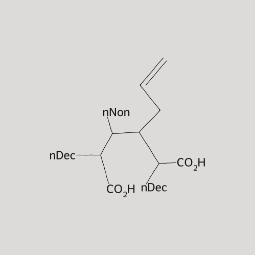 C=CCC(C(CCCCCCCCCC)C(=O)O)C(CCCCCCCCC)C(CCCCCCCCCC)C(=O)O